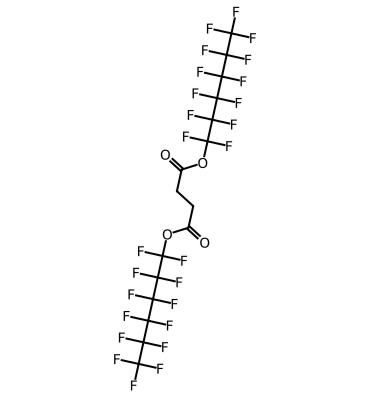 O=C(CCC(=O)OC(F)(F)C(F)(F)C(F)(F)C(F)(F)C(F)(F)C(F)(F)F)OC(F)(F)C(F)(F)C(F)(F)C(F)(F)C(F)(F)C(F)(F)F